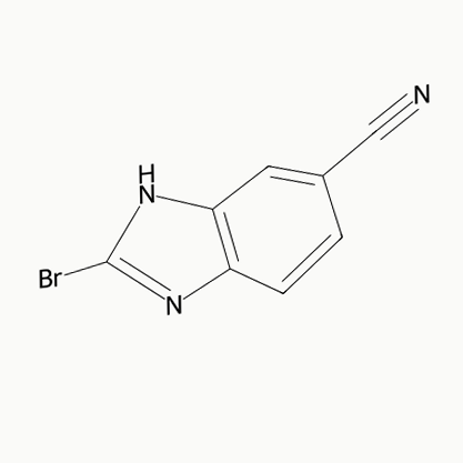 N#Cc1ccc2nc(Br)[nH]c2c1